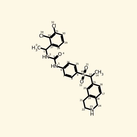 CC(NC(=O)Nc1ccc(S(=O)(=O)C(C)c2ccc3c(c2)CCNC3)cc1)c1cccc(Cl)c1Cl